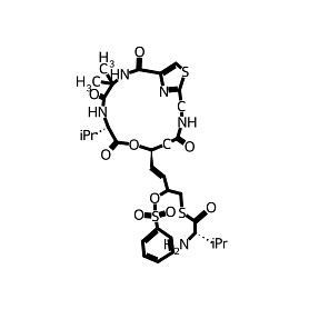 CC(C)[C@H](N)C(=O)SCC(/C=C/[C@@H]1CC(=O)NCc2nc(cs2)C(=O)NC(C)(C)C(=O)N[C@@H](C(C)C)C(=O)O1)OS(=O)(=O)c1ccccc1